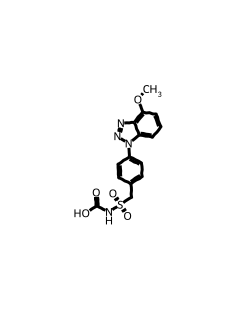 COc1cccc2c1nnn2-c1ccc(CS(=O)(=O)NC(=O)O)cc1